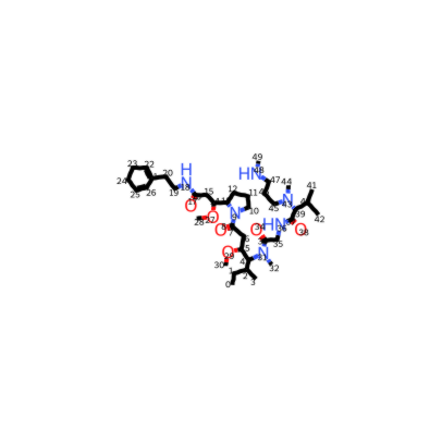 CCC(C)C(C(CC(=O)N1CCCC1C(CC(=O)NCCC1=CCCC=C1)OC)OC)N(C)C(=O)CNC(=O)C(C(C)C)N(C)CCCNC